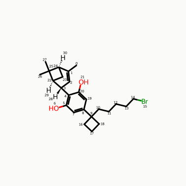 CC1=C[C@H](c2c(O)cc(C3(CCCCCBr)CCC3)cc2O)[C@@H]2C[C@H]1C2(C)C